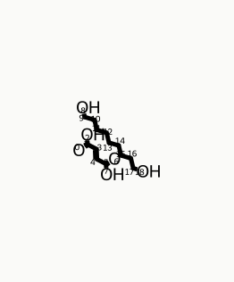 O=C(O)/C=C/C(=O)O.OCCCCCCCCCO